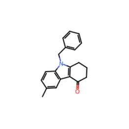 Cc1ccc2c(c1)c1c(n2Cc2ccccc2)CCCC1=O